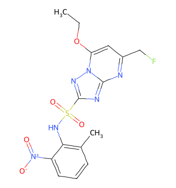 CCOc1cc(CF)nc2nc(S(=O)(=O)Nc3c(C)cccc3[N+](=O)[O-])nn12